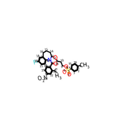 Cc1ccc(S(=O)(=O)OCCCOC2CCCc3cc(F)ccc3N2C(=O)c2ccc([N+](=O)[O-])cc2C)cc1